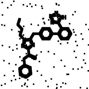 CCCCn1nc(C(=O)Cc2ccccc2)nc1Cc1ccc(-c2ccccc2-c2nnn[nH]2)cc1